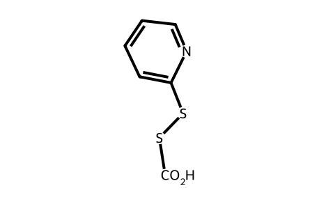 O=C(O)SSc1ccccn1